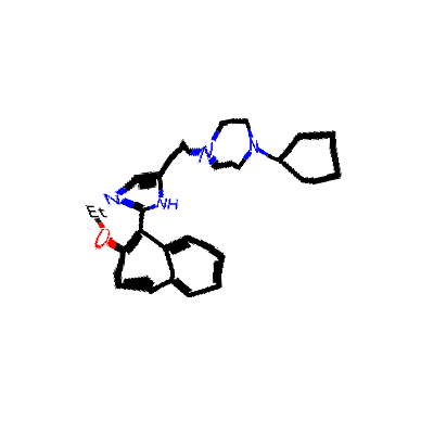 CCOc1ccc2ccccc2c1-c1ncc(CN2CCN(C3CCCC3)CC2)[nH]1